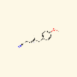 COc1ccc(C/C(C)=C/CC#N)cc1